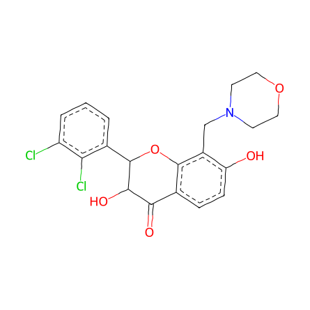 O=C1c2ccc(O)c(CN3CCOCC3)c2OC(c2cccc(Cl)c2Cl)C1O